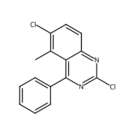 Cc1c(Cl)ccc2nc(Cl)nc(-c3ccccc3)c12